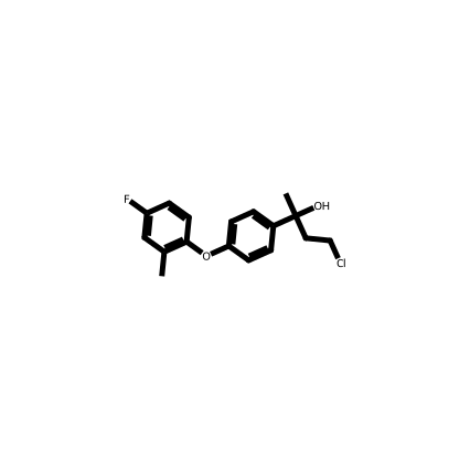 Cc1cc(F)ccc1Oc1ccc(C(C)(O)CCCl)cc1